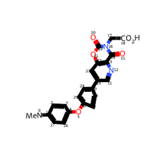 CNc1ccc(Oc2ccc(-c3cnc4c(=O)n(CC(=O)O)c(=O)oc4c3)cc2)cc1